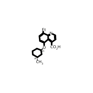 CCc1ccc(O[C@@H]2CCC[C@@H](C)C2)c2c(C(=O)O)ccnc12